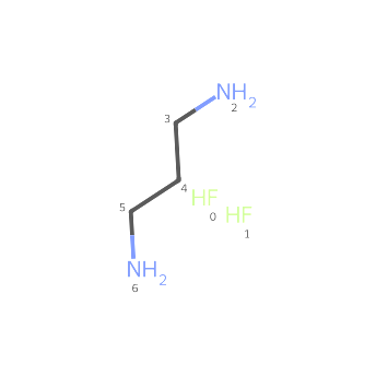 F.F.NCCCN